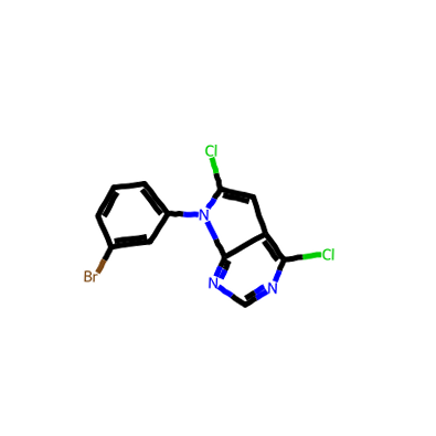 Clc1ncnc2c1cc(Cl)n2-c1cccc(Br)c1